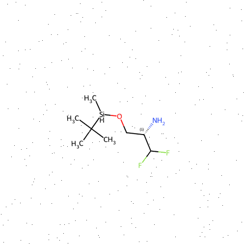 C[SiH](OC[C@H](N)C(F)F)C(C)(C)C